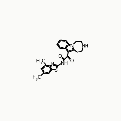 Cc1cc(C)c2nc(NC(=O)C(=O)c3c4n(c5ccccc35)CCNCC4)sc2c1